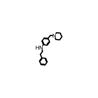 c1ccc(CCNc2ccc(CN3CCCCC3)cc2)cc1